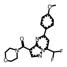 COc1ccc(-c2cc(C(F)F)n3ncc(C(=O)N4CCOCC4)c3n2)cc1